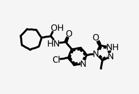 Cc1n[nH]c(=O)n1-c1cc(C(=O)NC(O)C2CCCCCC2)c(Cl)cn1